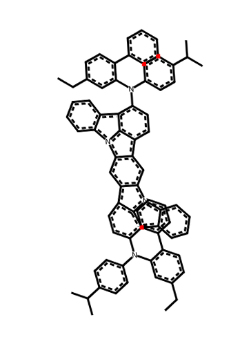 CCc1ccc(-c2ccccc2)c(N(c2ccc(C(C)C)cc2)c2ccc3c4cc5c(cc4n4c6ccccc6c2c34)c2ccc(N(c3ccc(C(C)C)cc3)c3cc(CC)ccc3-c3ccccc3)c3c4ccccc4n5c23)c1